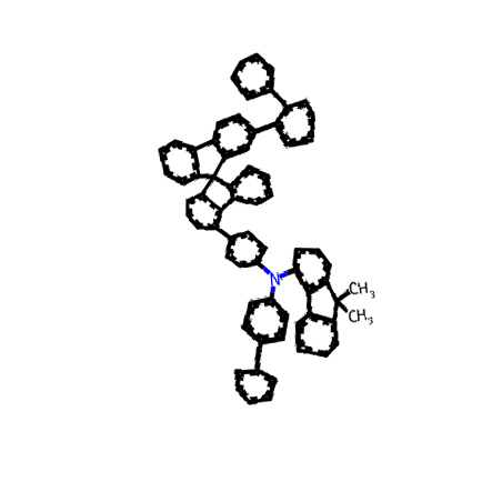 CC1(C)c2ccccc2-c2c(N(c3ccc(-c4ccccc4)cc3)c3ccc(-c4cccc5c4-c4ccccc4C54c5ccccc5-c5ccc(-c6ccccc6-c6ccccc6)cc54)cc3)cccc21